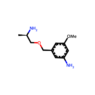 COc1cc(N)cc(COC[C@@H](C)N)c1